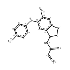 C=CC(=O)NC1COc2cc(C)c(Oc3ccc(C(F)(F)F)cc3)cc21